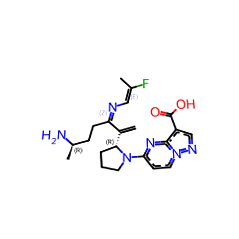 C=C(/C(CC[C@@H](C)N)=N\C=C(/C)F)[C@H]1CCCN1c1ccn2ncc(C(=O)O)c2n1